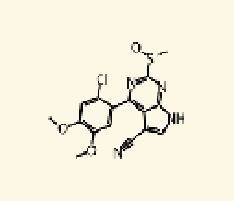 COc1cc(Cl)c(-c2nc([S+](C)[O-])nc3[nH]cc(C#N)c23)cc1OC